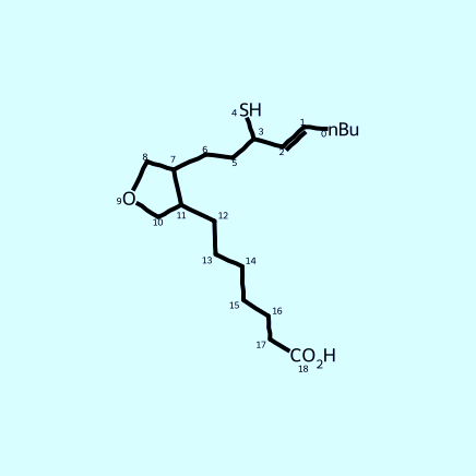 CCCCC=CC(S)CCC1COCC1CCCCCCC(=O)O